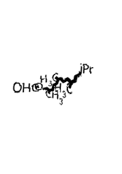 CC(C)CCCC(C)CCCC(C)CCCC(C)CCOC=O